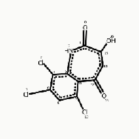 O=c1[nH]c2c(Cl)c(Cl)cc(Cl)c2c(=O)cc1O